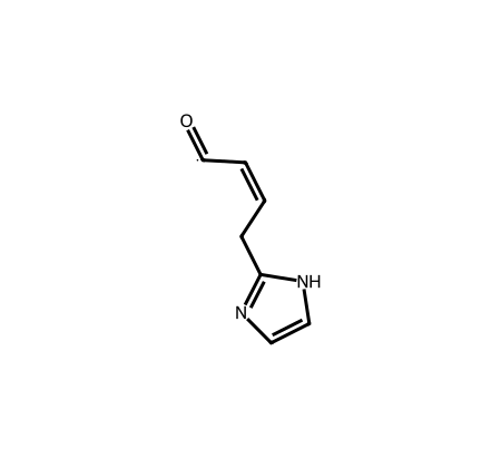 O=[C]/C=C\Cc1ncc[nH]1